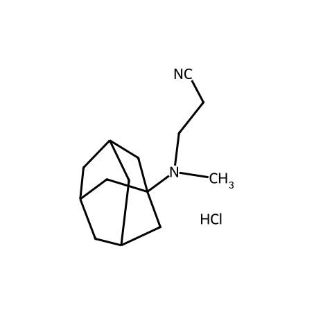 CN(CCC#N)C12CC3CC(CC(C3)C1)C2.Cl